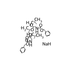 [CH2]C(COC(=O)[C@H](CC(C)C)NC(=O)OCc1ccccc1)OC(=O)[C@H](CC(C)C)NC(=O)OCc1ccccc1.[NaH]